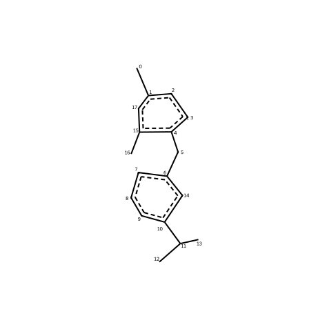 Cc1c[c]c(Cc2cccc(C(C)C)c2)c(C)c1